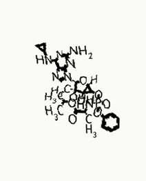 CC(C)OC(=O)[C@@H](C)N[P@](=O)(Oc1ccccc1)OC1[C@H]2O[C@@H](n3cnc4c(NC5CC5)nc(N)nc43)[C@](C)(O)[C@@]12O